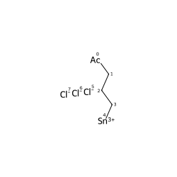 CC(=O)CC[CH2][Sn+3].[Cl-].[Cl-].[Cl-]